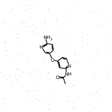 CC(=O)Nc1cc(Oc2ccc(N)nc2)ccn1